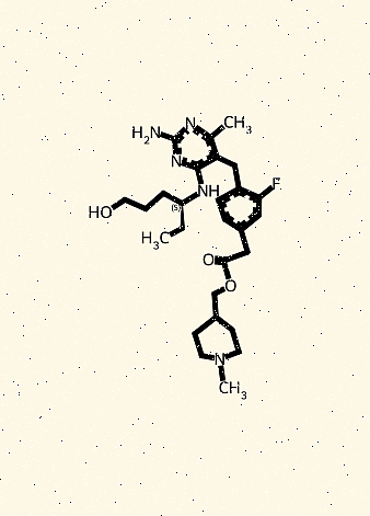 CC[C@@H](CCCO)Nc1nc(N)nc(C)c1Cc1ccc(CC(=O)OCC2CCN(C)CC2)cc1F